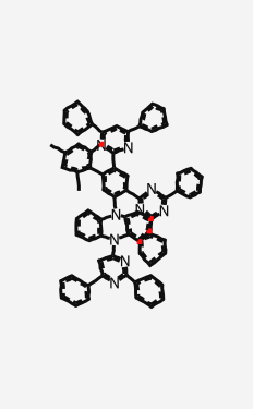 Cc1cc(C)c(-c2cc(N3c4ccccc4N(c4cc(-c5ccccc5)nc(-c5ccccc5)n4)c4ccccc43)c(-c3nc(-c4ccccc4)nc(-c4ccccc4)n3)cc2-c2nc(-c3ccccc3)cc(-c3ccccc3)n2)c(C)c1